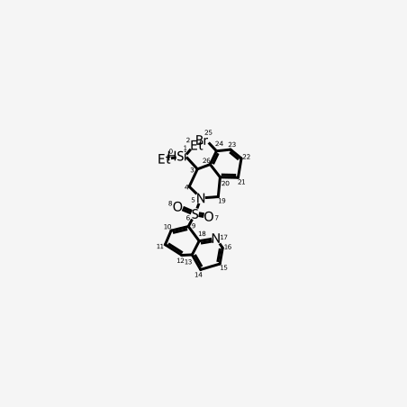 CC[SiH](CC)C1CN(S(=O)(=O)c2cccc3cccnc23)Cc2cccc(Br)c21